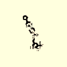 O=C(OCCc1c[nH]c(=O)c(C(F)(F)F)c1)N1CCN(c2ncc(C3CCCC3)cn2)CC1